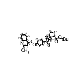 Cc1cc(COc2ccc(S(=O)(=O)N[C@H]3CCC[C@H]3C(=O)OC(C)(C)C)cc2)c2ccccc2n1